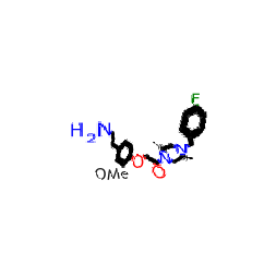 COc1cc(CCN)ccc1OCC(=O)N1C[C@H](C)N(Cc2ccc(F)cc2)C[C@H]1C